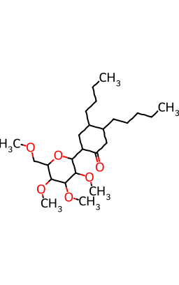 CCCCCC1CC(=O)C(C2OC(COC)C(OC)C(OC)C2OC)CC1CCCC